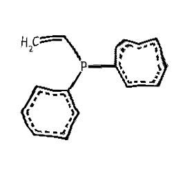 C=CP(c1ccccc1)c1ccccc1